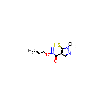 C=CCONC(=O)c1cnn(C)c1S